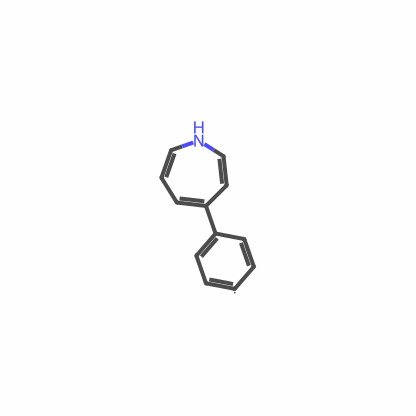 [c]1ccc(C2=CC=CNC=C2)cc1